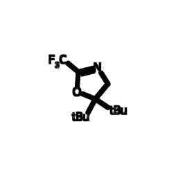 CC(C)(C)C1(C(C)(C)C)CN=C(C(F)(F)F)O1